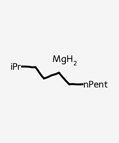 [CH2]CCCCCCCCC(C)C.[MgH2]